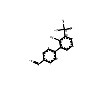 O=Cc1ccc(-c2cccc(C(F)(F)F)c2F)cc1